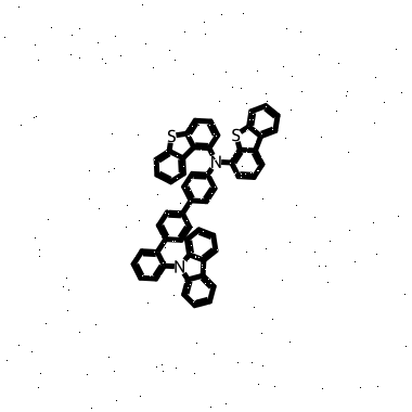 c1ccc(-n2c3ccccc3c3ccccc32)c(-c2ccc(-c3ccc(N(c4cccc5c4sc4ccccc45)c4cccc5sc6ccccc6c45)cc3)cc2)c1